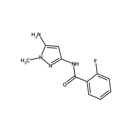 Cn1nc(NC(=O)c2ccccc2F)cc1N